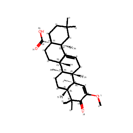 COC1=C[C@]2(C)[C@H]3CC=C4[C@@H]5CC(C)(C)CC[C@]5(C(=O)O)CC[C@@]4(C)[C@]3(C)CC[C@H]2C(C)(C)C1=O